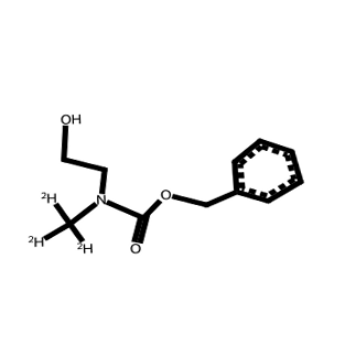 [2H]C([2H])([2H])N(CCO)C(=O)OCc1ccccc1